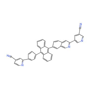 N#Cc1cncc(-c2cc3ccc(-c4c5ccccc5c(-c5ccc(-c6cc(C#N)ccn6)cc5)c5ccccc45)cc3cn2)c1